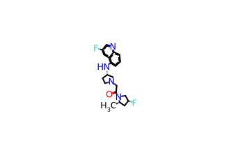 C[C@@H]1C[C@H](F)CN1C(=O)CN1CC[C@H](Nc2cccc3ncc(F)cc23)C1